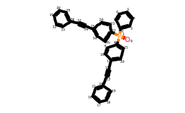 O=P(c1ccccc1)(c1ccc(C#Cc2ccccc2)cc1)c1ccc(C#Cc2ccccc2)cc1